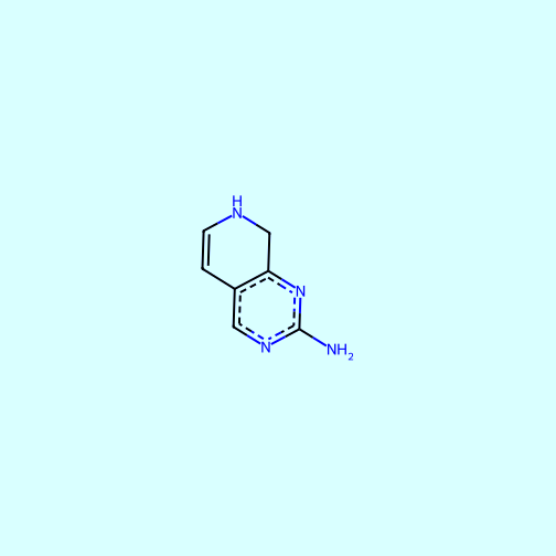 Nc1ncc2c(n1)CNC=C2